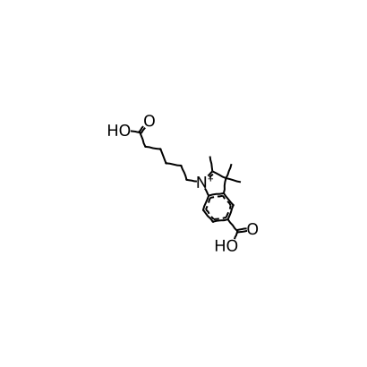 CC1=[N+](CCCCCC(=O)O)c2ccc(C(=O)O)cc2C1(C)C